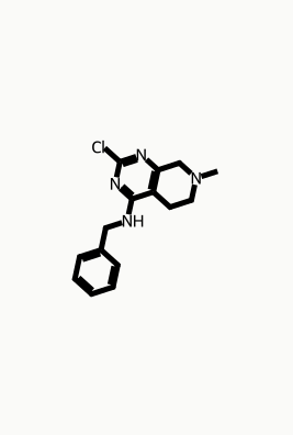 CN1CCc2c(nc(Cl)nc2NCc2ccccc2)C1